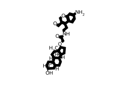 C[C@]12CC[C@@H](O)C[C@@H]1CC[C@@H]1[C@@H]2CC[C@]2(C)[C@@H](OCC(=O)NCCC3=C(C=O)COc4cc(N)ccc43)CC[C@@H]12